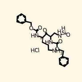 Cl.NCCC[C@@H](NC(=O)OCc1ccccc1)C(=O)C(CN[SiH]=O)NC(=O)OCc1ccccc1